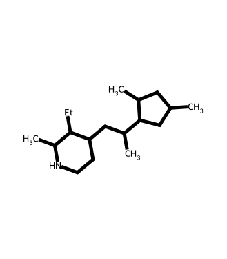 CCC1C(CC(C)C2CC(C)CC2C)CCNC1C